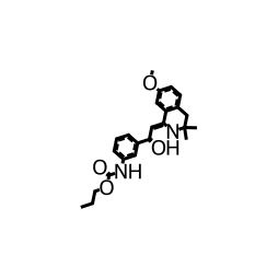 CCCOC(=O)Nc1cccc(C(=O)/C=C2\NC(C)(C)Cc3ccc(OC)cc32)c1